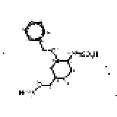 O=S(=O)(O)NC1COC(COS(=O)(=O)O)C[C@H]1OCc1ccccc1